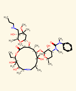 CCCNC[C@]1(O)[C@H](C)O[C@@H](O[C@H]2[C@H](C)[C@@H](O[C@@H]3O[C@H](C)C[C@H](N(C)C(=O)N(C)c4ccccc4)[C@H]3O)[C@](C)(O)C[C@@H](C)CN[C@H](C)[C@@H](O)[C@](C)(O)[C@@H](CC)OC(=O)[C@@H]2C)C[C@@]1(C)OC